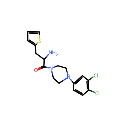 NC(Cc1cccs1)C(=O)N1CCN(c2ccc(Cl)c(Cl)c2)CC1